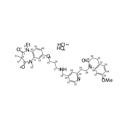 CCN1C(=O)C(C)(C)C(=O)N(C)c2cc(OCCCNCc3ccnc(CCN4C(=O)CCc5ccc(OC)cc54)c3)ccc21.Cl.Cl